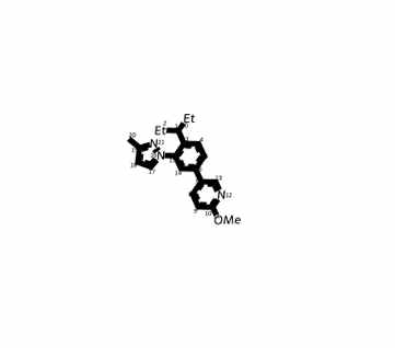 CCC(CC)c1ccc(-c2ccc(OC)nc2)cc1-n1ccc(C)n1